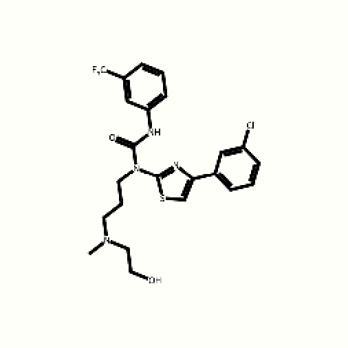 CN(CCO)CCCN(C(=O)Nc1cccc(C(F)(F)F)c1)c1nc(-c2cccc(Cl)c2)cs1